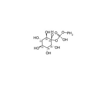 O=P(O)(OP)O[C@]1(O)[C@H](O)[C@H](O)[C@@H](O)[C@H](O)[C@H]1O